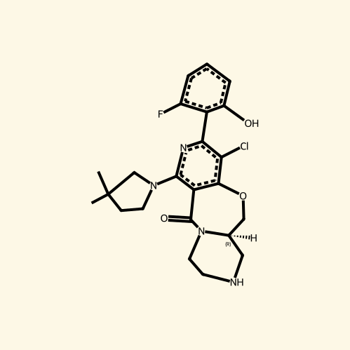 CC1(C)CCN(c2nc(-c3c(O)cccc3F)c(Cl)c3c2C(=O)N2CCNC[C@@H]2CO3)C1